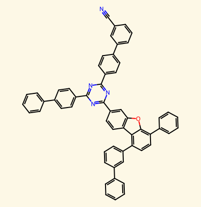 N#Cc1cccc(-c2ccc(-c3nc(-c4ccc(-c5ccccc5)cc4)nc(-c4ccc5c(c4)oc4c(-c6ccccc6)ccc(-c6cccc(-c7ccccc7)c6)c45)n3)cc2)c1